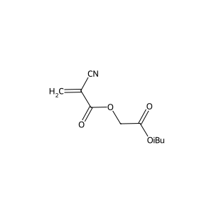 C=C(C#N)C(=O)OCC(=O)OCC(C)C